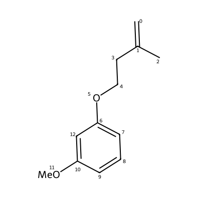 C=C(C)CCOc1cccc(OC)c1